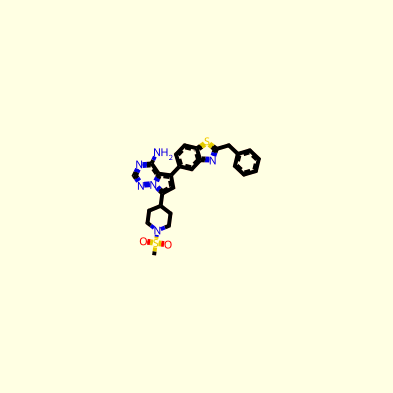 CS(=O)(=O)N1CCC(c2cc(-c3ccc4sc(Cc5ccccc5)nc4c3)c3c(N)ncnn23)CC1